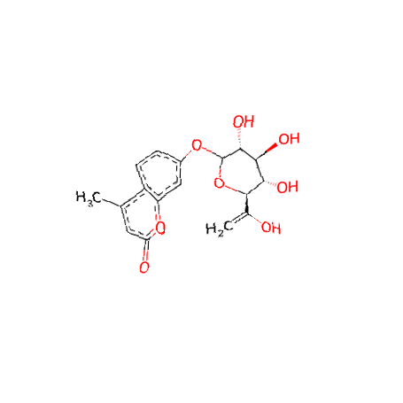 C=C(O)[C@H]1OC(Oc2ccc3c(C)cc(=O)oc3c2)[C@H](O)[C@@H](O)[C@@H]1O